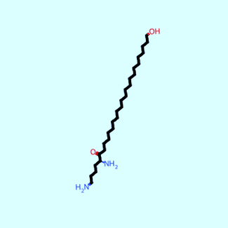 NCCCC[C@H](N)C(=O)CCCCCCCCCCCCCCCCCCCCCCO